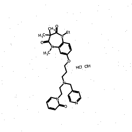 CCN1C(=O)C(C)(C)C(=O)N(C)c2cc(OCCCN(CCn3ccccc3=O)Cc3ccncc3)ccc21.Cl.Cl